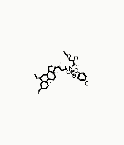 CCOCC(=O)[C@H](C)NP(=O)(OCC[C@@H](C)[C@H]1CCC2C3C[C@H](CC)C4CC(I)CC[C@]4(C)C3CC[C@@]21C)Oc1ccc(Cl)cc1